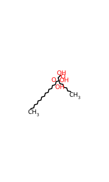 CCCCCCCCCCCCCCC(O)C(=O)C(O)(CCCCCCC)CC(=O)O